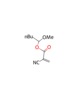 C=C(C#N)C(=O)OC(CCCC)OC